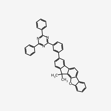 CC1(C)c2ccc(-c3cccc(-c4nc(-c5ccccc5)nc(-c5ccccc5)n4)c3)cc2-c2ccc3c(oc4ccccc43)c21